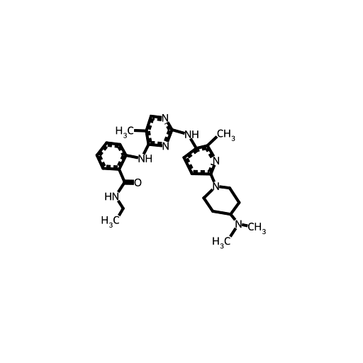 CCNC(=O)c1ccccc1Nc1nc(Nc2ccc(N3CCC(N(C)C)CC3)nc2C)ncc1C